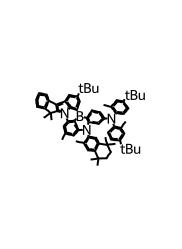 Cc1cc2c3c(c1)-n1c4c(c5cc(C(C)(C)C)cc(c51)B3c1ccc(N(c3ccc(C(C)(C)C)cc3C)c3ccc(C(C)(C)C)cc3C)cc1N2c1cc2c(cc1C)C(C)(C)CCC2(C)C)-c1ccccc1C4(C)C